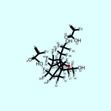 C=C(F)C(=O)O.C=C(F)C(=O)O.OC(F)(F)C(F)(F)C12C(F)(F)C3(F)C(F)(F)C(F)(C1(F)F)C(F)(F)C(C(F)(F)C(O)(F)F)(C3(F)F)C2(F)F